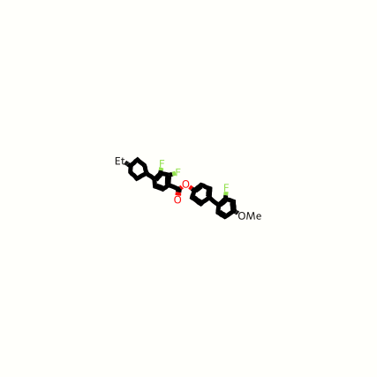 CCC1CCC(c2ccc(C(=O)Oc3ccc(-c4ccc(OC)cc4F)cc3)c(F)c2F)CC1